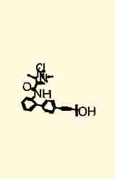 CC1C(C(=O)Nc2ccccc2-c2ccc(C#CC(C)(C)O)cc2)=CN(C)N1Cl